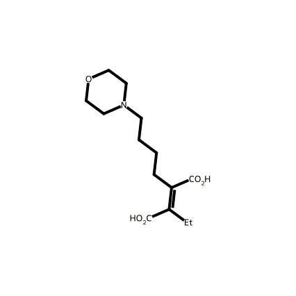 CC/C(C(=O)O)=C(/CCCCN1CCOCC1)C(=O)O